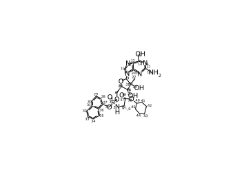 C[C@H](NP(=O)(OC[C@H]1OC(n2cnc3c(O)nc(N)nc32)[C@](C)(O)[C@@H]1O)Oc1cccc2ccccc12)C(=O)OC1CCCCC1